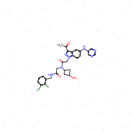 CC(=O)c1nn(CC(=O)N(CC(=O)NCc2cccc(Cl)c2F)C2CC(O)C2)c2ccc(Nc3cncnc3)cc12